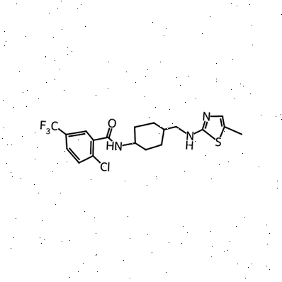 Cc1cnc(NCC2CCC(NC(=O)c3cc(C(F)(F)F)ccc3Cl)CC2)s1